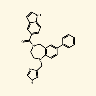 O=C(c1ccc2[nH]ccc2c1)N1CCN(Cc2c[nH]cn2)c2ccc(-c3ccccc3)cc2C1